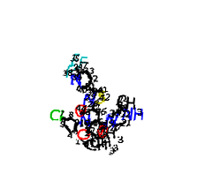 CCOc1ccc(Cl)cc1-n1c(C=C(C)C)c(C(=O)N2CCN[C@H](C)C2)cc(-c2nc(-c3ccc(C(F)(F)F)nc3)cs2)c1=O